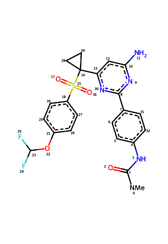 CNC(=O)Nc1ccc(-c2nc(N)cc(C3(S(=O)(=O)c4ccc(OC(F)F)cc4)CC3)n2)cc1